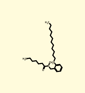 CCCCCCCCCCCCOc1ccccc1CN(C)C(=O)CCCCCN